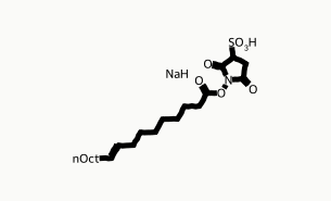 CCCCCCCCC=CCCCCCCCC(=O)ON1C(=O)CC(S(=O)(=O)O)C1=O.[NaH]